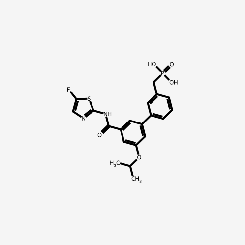 CC(C)Oc1cc(C(=O)Nc2ncc(F)s2)cc(-c2cccc(CP(=O)(O)O)c2)c1